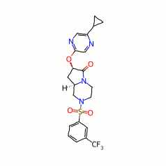 O=C1[C@H](Oc2cnc(C3CC3)cn2)C[C@@H]2CN(S(=O)(=O)c3cccc(C(F)(F)F)c3)CCN12